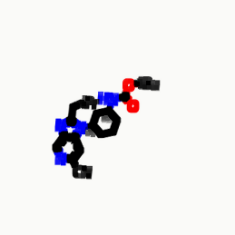 CC(C)Cc1nc2cnc(C#N)cc2n1[C@@H]1CCC[C@H](NC(=O)OC(C)(C)C)C1